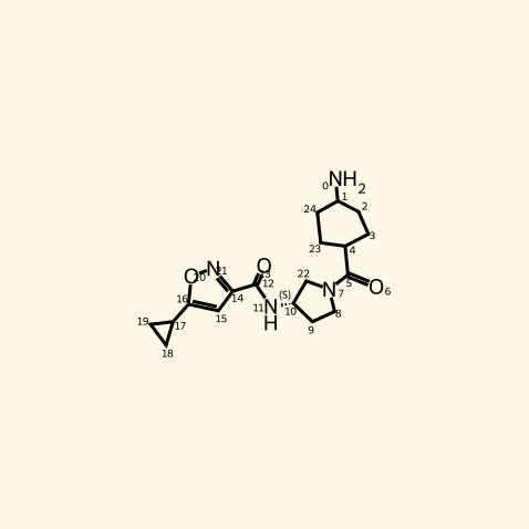 NC1CCC(C(=O)N2CC[C@H](NC(=O)c3cc(C4CC4)on3)C2)CC1